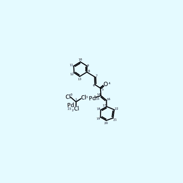 ClC(Cl)Cl.O=C(C=Cc1ccccc1)[C]([Pd])=Cc1ccccc1.[Pd]